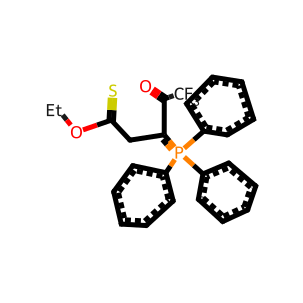 CCOC(=S)CC(C(=O)C(F)(F)F)=P(c1ccccc1)(c1ccccc1)c1ccccc1